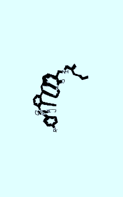 C=CCCC(C)CNCc1ccc2cc(-c3cccc(S(=O)(=O)c4ccc(Br)cc4)c3C)ccn2c1=O